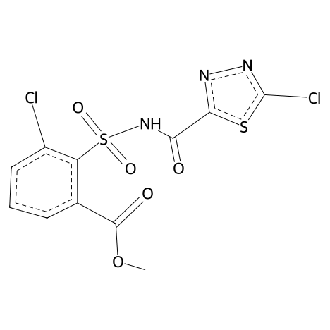 COC(=O)c1cccc(Cl)c1S(=O)(=O)NC(=O)c1nnc(Cl)s1